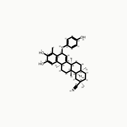 Cc1c(O)c(O)cc2c1C(Sc1ccc(O)cc1)C=C1[C@@]2(C)CC[C@@]2(C)[C@@H]3C[C@](C)(C#N)CC[C@]3(C)CC[C@]12C